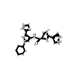 O=C(Nc1cn(C2CCCCC2)nc1-c1nnco1)c1csc(-c2cn[nH]c2)n1